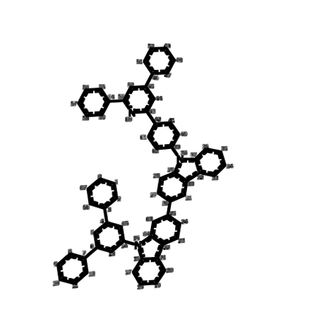 c1ccc(-c2cc(-c3ccccc3)cc(-n3c4ccccc4c4ccc(-c5ccc6c(c5)c5ccccc5n6-c5ccc(-c6cc(-c7ccccc7)cc(-c7ccccc7)n6)cc5)cc43)c2)cc1